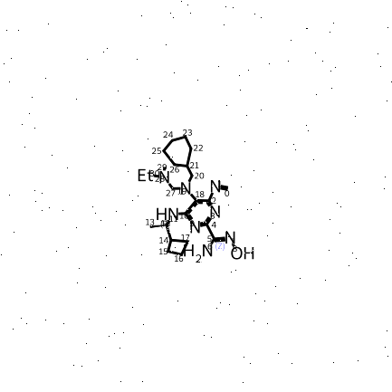 C=Nc1nc(/C(N)=N/O)nc(N[C@H](C)C2CCC2)c1N(CC1CCCCC1)CN(C)CC